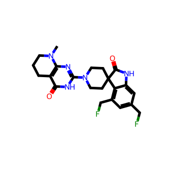 CN1CCCc2c1nc(N1CCC3(CC1)C(=O)Nc1cc(CF)cc(CF)c13)[nH]c2=O